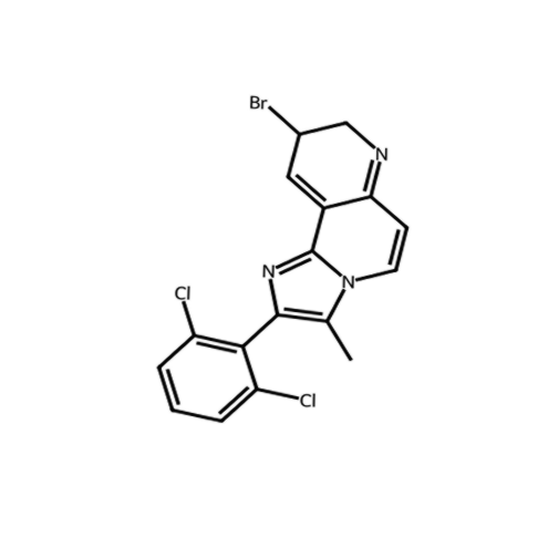 Cc1c(-c2c(Cl)cccc2Cl)nc2c3c(ccn12)=NCC(Br)C=3